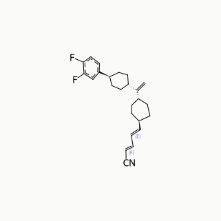 C=C([C@H]1CC[C@H](/C=C/C=C/C#N)CC1)[C@H]1CC[C@H](c2ccc(F)c(F)c2)CC1